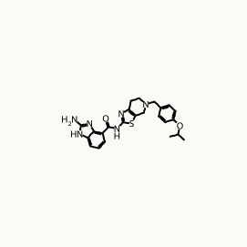 CC(C)Oc1ccc(CN2CCc3nc(NC(=O)c4cccc5[nH]c(N)nc45)sc3C2)cc1